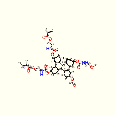 C=C(C)C(=O)OCCNC(=O)Oc1ccc(C(c2ccc(OC(=O)NCCOC)cc2)C(c2ccc(OC=O)cc2)c2ccc(OC(=O)NCCOC(=O)/C(C)=C/C)cc2)cc1